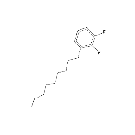 CCCCCCCCCc1cccc(F)c1F